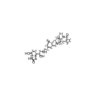 Cc1sccc1C(=O)N1CCOC2(CCN(Cc3cc(F)cc(CCNCC(O)c4ccc(O)c5[nH]c(=O)sc45)c3)CC2)C1